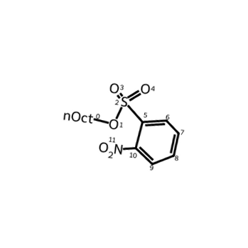 CCCCCCCCOS(=O)(=O)c1ccccc1[N+](=O)[O-]